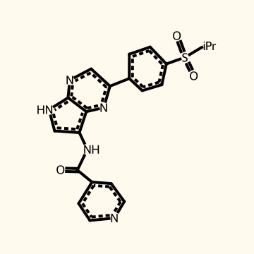 CC(C)S(=O)(=O)c1ccc(-c2cnc3[nH]cc(NC(=O)c4ccncc4)c3n2)cc1